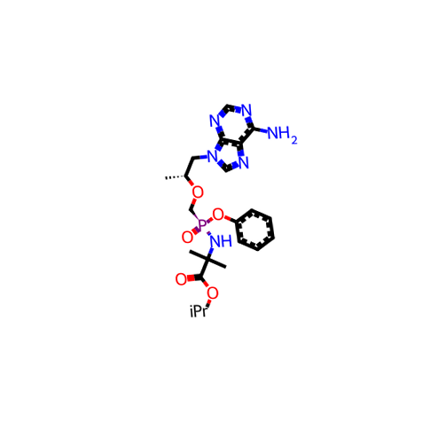 CC(C)OC(=O)C(C)(C)N[P@@](=O)(CO[C@H](C)Cn1cnc2c(N)ncnc21)Oc1ccccc1